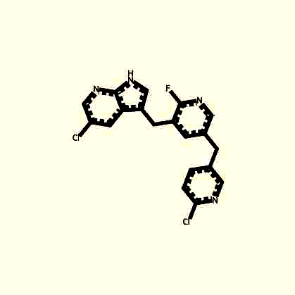 Fc1n[c]c(Cc2ccc(Cl)nc2)cc1Cc1c[nH]c2ncc(Cl)cc12